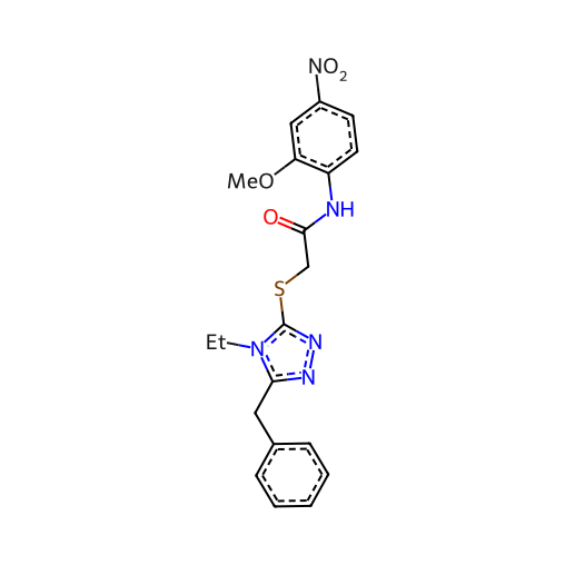 CCn1c(Cc2ccccc2)nnc1SCC(=O)Nc1ccc([N+](=O)[O-])cc1OC